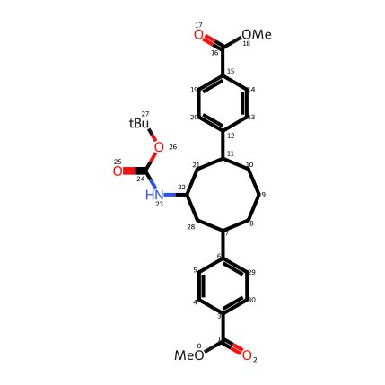 COC(=O)c1ccc(C2CCCC(c3ccc(C(=O)OC)cc3)CC(NC(=O)OC(C)(C)C)C2)cc1